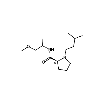 COCC(C)NC(=O)[C@@H]1CCCN1CCC(C)C